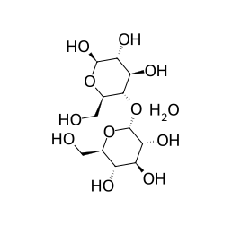 O.OC[C@H]1O[C@H](O[C@H]2[C@H](O)[C@@H](O)[C@H](O)O[C@@H]2CO)[C@H](O)[C@@H](O)[C@@H]1O